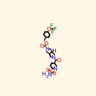 NS(=O)(=O)c1ccc(C(=O)N2C=C3CN(C(=O)OCc4ccc(OC(F)(F)F)cc4)C[C@@H]3C2)cn1